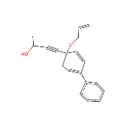 C=CCOC1(C#CC(C)O)C=CC(c2ccccc2)=CC1